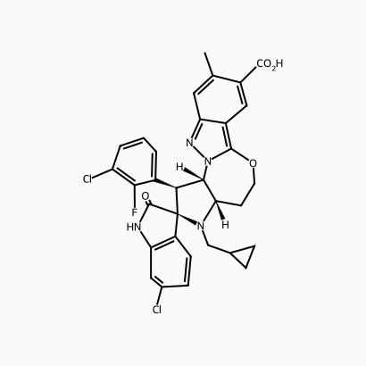 Cc1cc2nn3c(c2cc1C(=O)O)OCC[C@H]1[C@@H]3[C@H](c2cccc(Cl)c2F)[C@]2(C(=O)Nc3cc(Cl)ccc32)N1CC1CC1